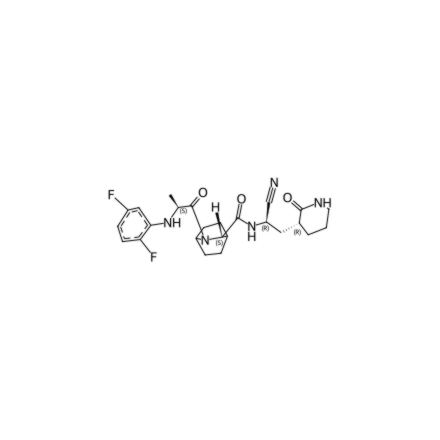 C[C@H](Nc1cc(F)ccc1F)C(=O)N1C2CCC(CC2)[C@H]1C(=O)N[C@@H](C#N)C[C@H]1CCCNC1=O